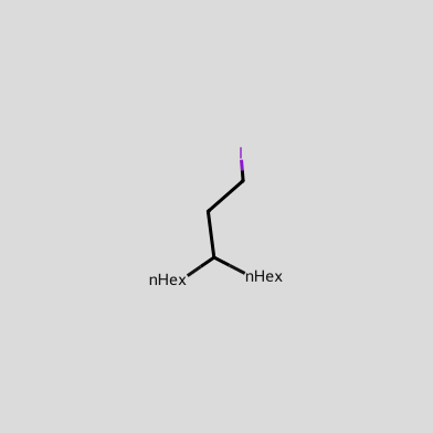 CCCCCCC(CCI)CCCCCC